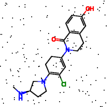 CN[C@@H]1CCN(C2=C(Cl)C=C(N3CCc4cc(O)ccc4C3=O)CC2)C1